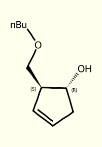 CCCCOC[C@@H]1C=CC[C@H]1O